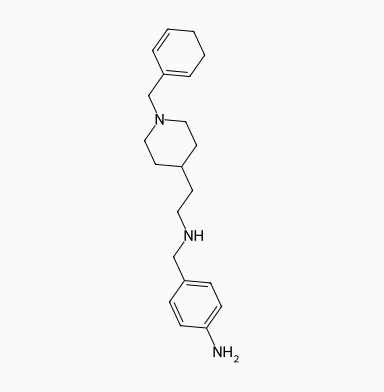 Nc1ccc(CNCCC2CCN(CC3=CCCC=C3)CC2)cc1